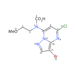 COCCN(C(=O)O)c1cc(Cl)nc2c(Br)cnn12